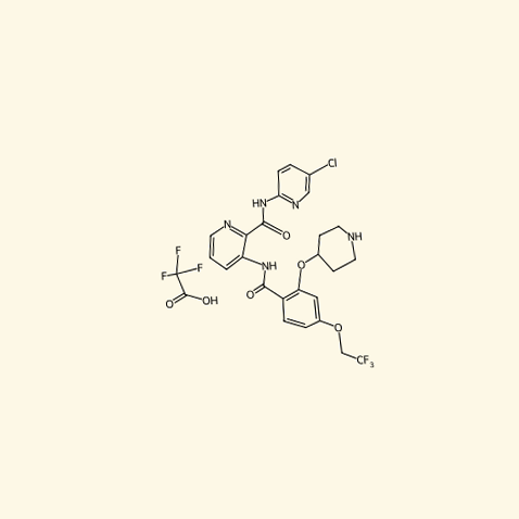 O=C(Nc1cccnc1C(=O)Nc1ccc(Cl)cn1)c1ccc(OCC(F)(F)F)cc1OC1CCNCC1.O=C(O)C(F)(F)F